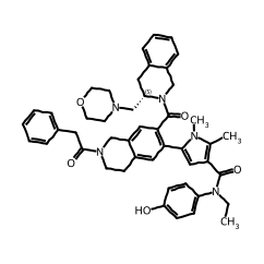 CCN(C(=O)c1cc(-c2cc3c(cc2C(=O)N2Cc4ccccc4C[C@H]2CN2CCOCC2)CN(C(=O)Cc2ccccc2)CC3)n(C)c1C)c1ccc(O)cc1